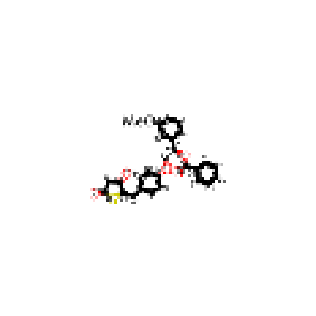 COc1cccc([C@@H](COc2ccc(CC3SC(=O)CC3=O)cc2)OC(=O)c2ccccc2)c1